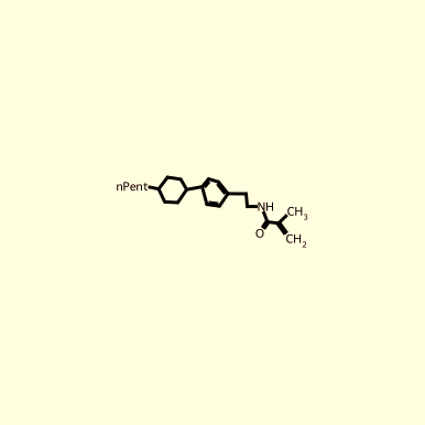 C=C(C)C(=O)NCCc1ccc(C2CCC(CCCCC)CC2)cc1